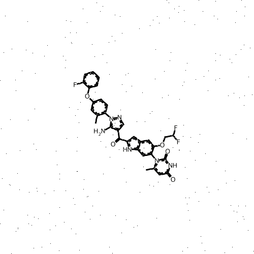 Cc1cc(Oc2ccccc2F)ccc1-n1ncc(C(=O)c2cc3cc(OCC(F)F)c(-n4c(C)cc(=O)[nH]c4=O)cc3[nH]2)c1N